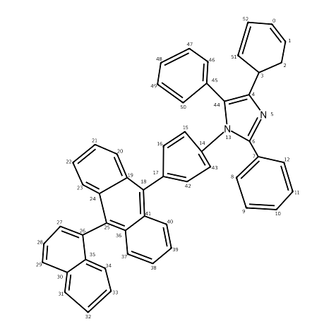 C1=CCC(c2nc(-c3ccccc3)n(-c3ccc(-c4c5ccccc5c(-c5cccc6ccccc56)c5ccccc45)cc3)c2-c2ccccc2)C=C1